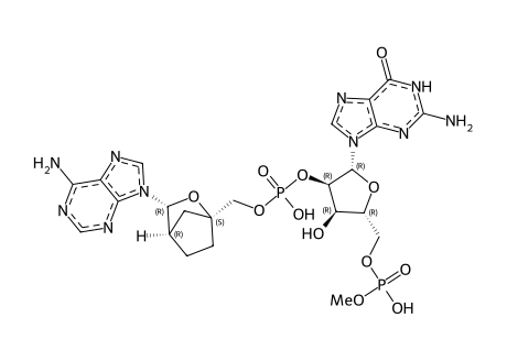 COP(=O)(O)OC[C@H]1O[C@@H](n2cnc3c(=O)[nH]c(N)nc32)[C@H](OP(=O)(O)OC[C@]23CC[C@H](C2)[C@H](n2cnc4c(N)ncnc42)O3)[C@@H]1O